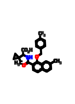 Cc1ccc2ccc(C(=O)NC(C(=O)O)C3(C)CC3)c(OCc3ccc(C(F)(F)F)cc3)c2c1